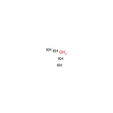 O.[KH].[KH].[KH].[KH]